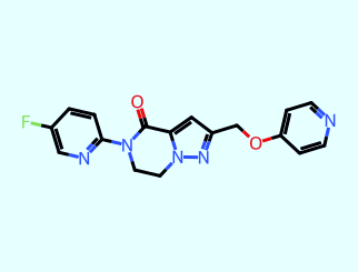 O=C1c2cc(COc3ccncc3)nn2CCN1c1ccc(F)cn1